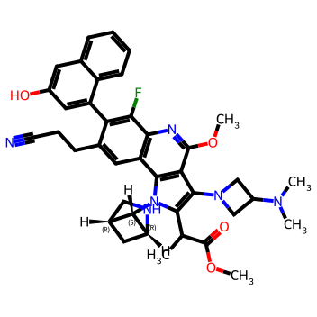 COC(=O)C(C)c1c(N2CC(N(C)C)C2)c2c(OC)nc3c(F)c(-c4cc(O)cc5ccccc45)c(CCC#N)cc3c2n1[C@H]1[C@H]2CN[C@@H]1C2